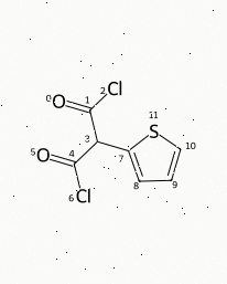 O=C(Cl)C(C(=O)Cl)c1cccs1